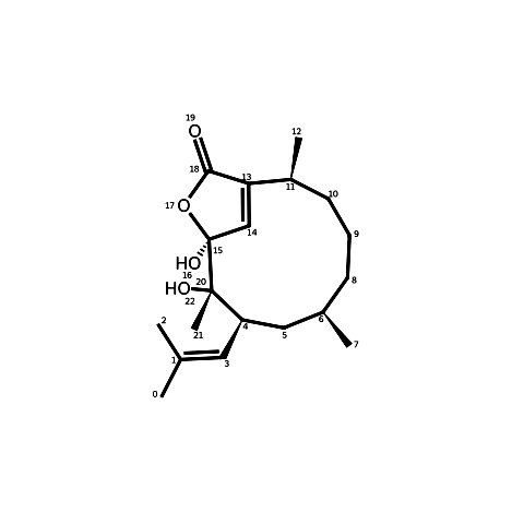 CC(C)=C[C@@H]1C[C@H](C)CCC[C@H](C)C2=C[C@](O)(OC2=O)[C@@]1(C)O